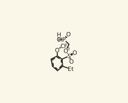 CCc1cccc(OC(F)(F)F)c1S(=O)(=O)OC[PH](=O)O